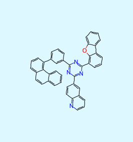 c1cc(-c2nc(-c3ccc4ncccc4c3)nc(-c3cccc4c3oc3ccccc34)n2)cc(-c2cccc3ccc4ccccc4c23)c1